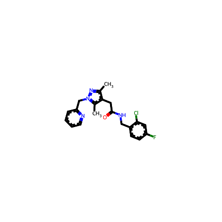 Cc1nn(Cc2ccccn2)c(C)c1CC(=O)NCc1ccc(F)cc1Cl